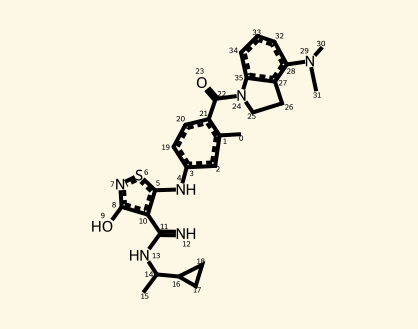 Cc1cc(Nc2snc(O)c2C(=N)NC(C)C2CC2)ccc1C(=O)N1CCc2c(N(C)C)cccc21